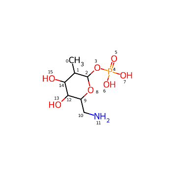 CC1C(OP(=O)(O)O)OC(CN)C(O)C1O